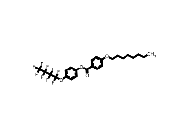 CCCCCCCCOc1ccc(C(=O)Oc2ccc(OC(F)(F)C(F)(F)C(F)(F)C(F)(F)F)cc2)cc1